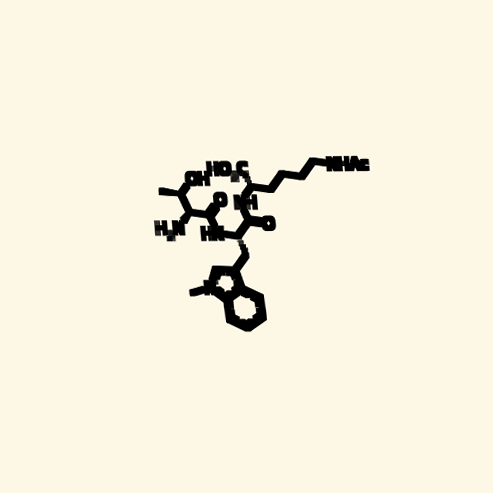 CC(=O)NCCCC[C@H](NC(=O)[C@H](Cc1cn(C)c2ccccc12)NC(=O)[C@@H](N)[C@@H](C)O)C(=O)O